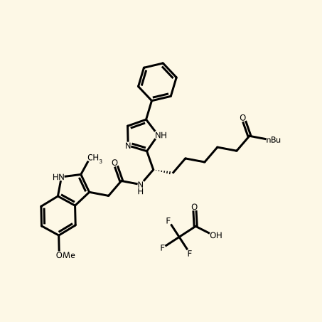 CCCCC(=O)CCCCC[C@H](NC(=O)Cc1c(C)[nH]c2ccc(OC)cc12)c1ncc(-c2ccccc2)[nH]1.O=C(O)C(F)(F)F